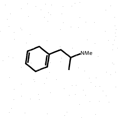 CNC(C)CC1=CCC=CC1